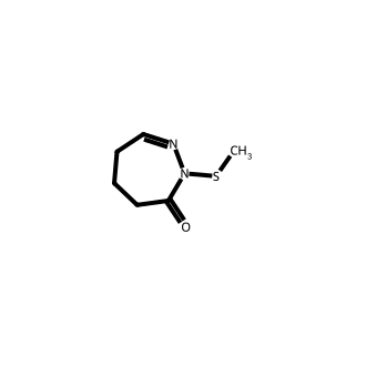 CSN1N=CCCCC1=O